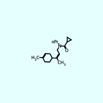 CCCN(C/C=C(/C)C1CC=C(C)CC1)C(=O)C1CC1